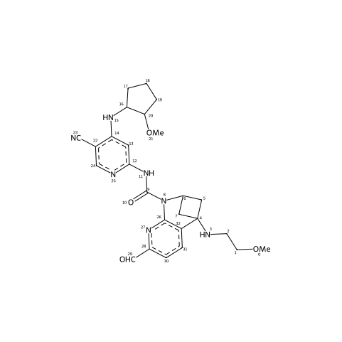 COCCNC12CC(C1)N(C(=O)Nc1cc(NC3CCCC3OC)c(C#N)cn1)c1nc(C=O)ccc12